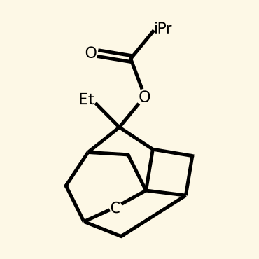 CCC1(OC(=O)C(C)C)C2CC3CC4CC1C4(C3)C2